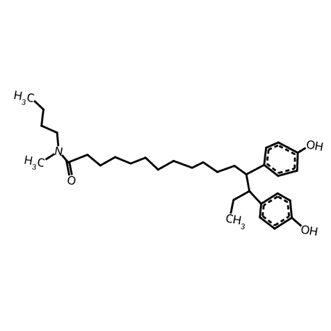 CCCCN(C)C(=O)CCCCCCCCCCCC(c1ccc(O)cc1)C(CC)c1ccc(O)cc1